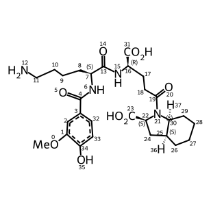 COc1cc(C(=O)N[C@@H](CCCCN)C(=O)N[C@H](CCC(=O)N2[C@H](C(=O)O)C[C@@H]3CCCC[C@@H]32)C(=O)O)ccc1O